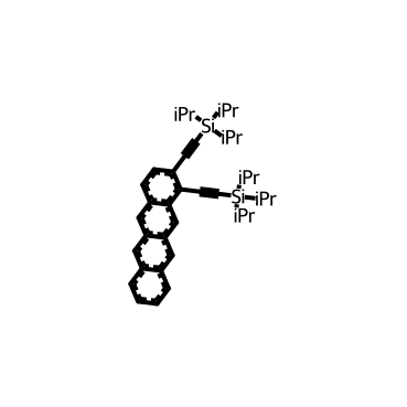 CC(C)[Si](C#Cc1ccc2cc3cc4ccccc4cc3cc2c1C#C[Si](C(C)C)(C(C)C)C(C)C)(C(C)C)C(C)C